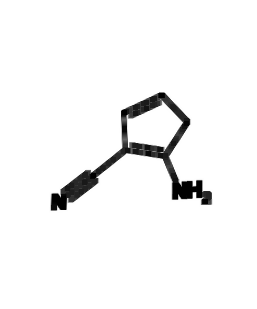 N#CC1=C(N)CC=C1